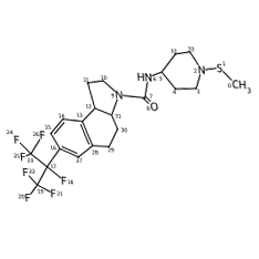 CSN1CCC(NC(=O)N2CCC3c4ccc(C(F)(C(F)(F)F)C(F)(F)F)cc4CCC32)CC1